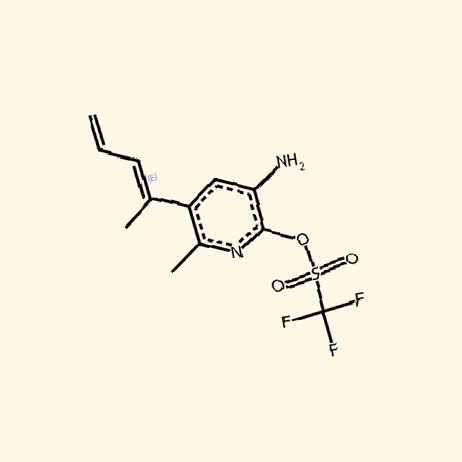 C=C/C=C(\C)c1cc(N)c(OS(=O)(=O)C(F)(F)F)nc1C